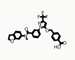 CN(C(=O)c1cccc(-n2nc(C(F)(F)F)cc2OCc2ccc(C(=O)O)cc2)c1)c1ccc2c(c1)OCC2